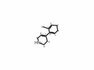 CC1=CCCC=C1C1=CCNCC1